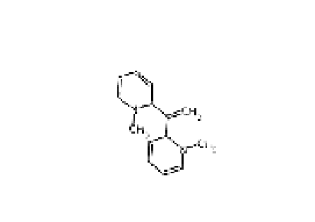 C=C(C1C=CC=CN1C)C1C=CC=CN1C